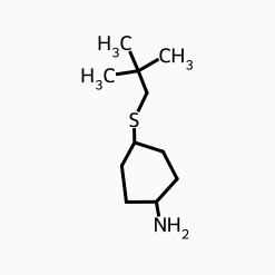 CC(C)(C)CSC1CCC(N)CC1